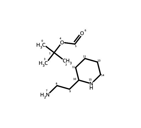 CC(C)(C)OC=O.NCCC1CCCCN1